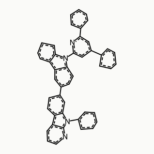 c1ccc(-c2cc(-c3ccccc3)nc(-n3c4ccccc4c4cc(-c5ccc6c7cccnc7n(-c7ccccc7)c6c5)ccc43)c2)cc1